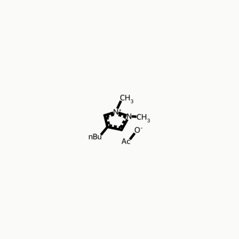 CC(=O)[O-].CCCCc1cn(C)[n+](C)c1